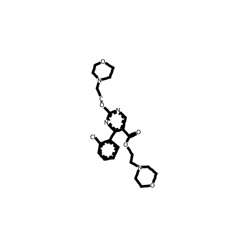 O=C(OCCN1CCOCC1)c1cnc(OCCN2CCOCC2)nc1-c1ccccc1Cl